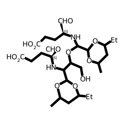 CCC1CC(C)OC(C(N[C@H](C=O)CCC(=O)O)OC(CO)C(N[C@H](C=O)CCC(=O)O)C2OC(C)CC(CC)O2)O1